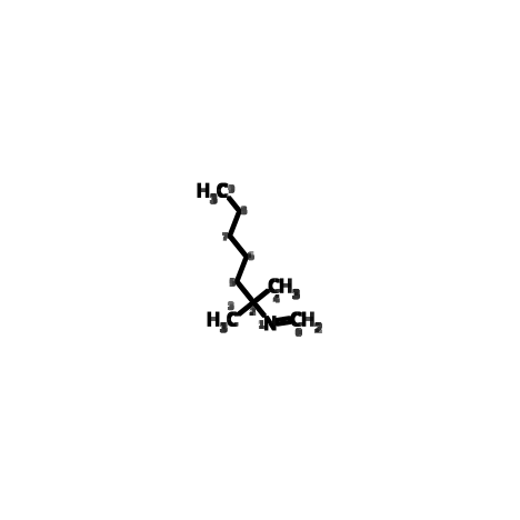 C=NC(C)(C)CCCCC